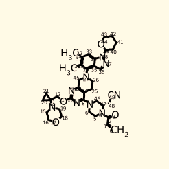 C=CC(=O)N1CCN(c2nc(OCC3(N4CCOCC4)CC3)nc3c2CCN(c2c(C)c(C)cc4c2cnn4C2CCCCO2)C3)C[C@@H]1CC#N